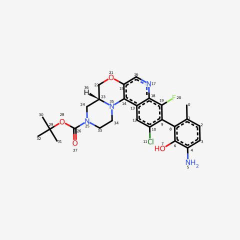 Cc1ccc(N)c(O)c1-c1c(Cl)cc2c3c(cnc2c1F)OC[C@H]1CN(C(=O)OC(C)(C)C)CCN31